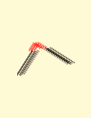 [Fe+3].[Fe+3].[Fe+3].[Fe+3].[Fe+3].[Fe+3].[Fe+3].[Fe+3].[Fe+3].[Fe+3].[Fe+3].[Fe+3].[Fe+3].[Fe+3].[Fe+3].[Fe+3].[Fe+3].[Fe+3].[Fe+3].[Fe+3].[Fe+3].[Fe+3].[Fe+3].[Fe+3].[Fe+3].[Fe+3].[Fe+3].[Fe+3].[Fe+3].[Fe+3].[OH-].[OH-].[OH-].[OH-].[OH-].[OH-].[OH-].[OH-].[OH-]